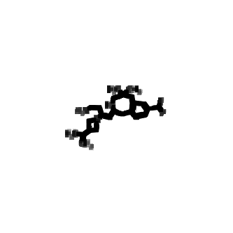 C=C(C)C1CN(C(/C=C\N)=C/C2Cc3ccc(C(F)F)cc3CC(C)(C)CN2)C1